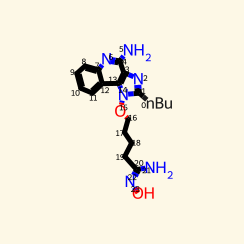 CCCCc1nc2c(N)nc3ccccc3c2n1OCCCC/C(N)=N/O